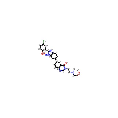 O=c1c2cc(-c3ccc4nc(-c5cc(F)ccc5O)[nH]c4c3)ccc2ncn1CCN1CCOCC1